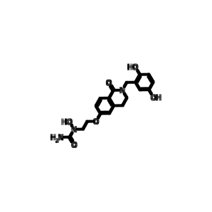 NC(=O)N(O)CCOc1ccc2c(c1)CCN(Cc1cc(O)ccc1O)C2=O